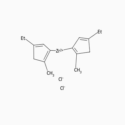 CCC1=C[C]([Zr+2][C]2=C(C)CC(CC)=C2)=C(C)C1.[Cl-].[Cl-]